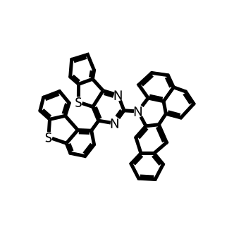 c1ccc2cc3c(cc2c1)-c1cccc2cccc(c12)N3c1nc(-c2cccc3sc4ccccc4c23)c2sc3ccccc3c2n1